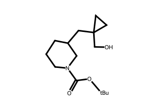 CC(C)(C)OC(=O)N1CCCC(CC2(CO)CC2)C1